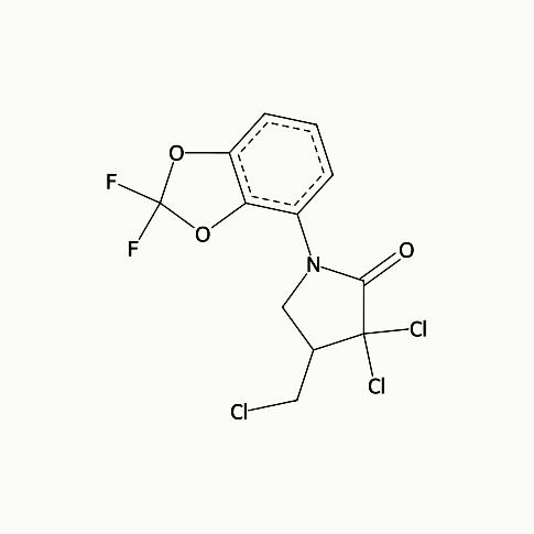 O=C1N(c2cccc3c2OC(F)(F)O3)CC(CCl)C1(Cl)Cl